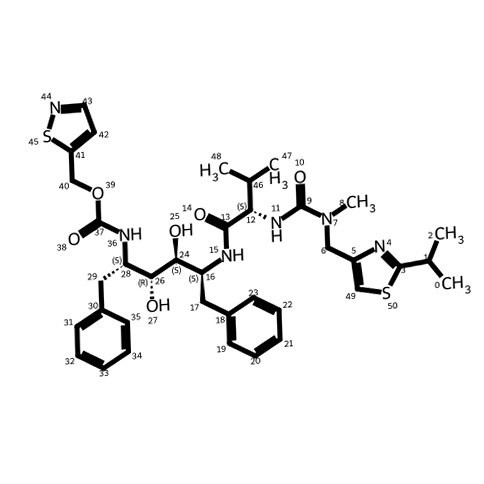 CC(C)c1nc(CN(C)C(=O)N[C@H](C(=O)N[C@@H](Cc2ccccc2)[C@H](O)[C@H](O)[C@H](Cc2ccccc2)NC(=O)OCc2ccns2)C(C)C)cs1